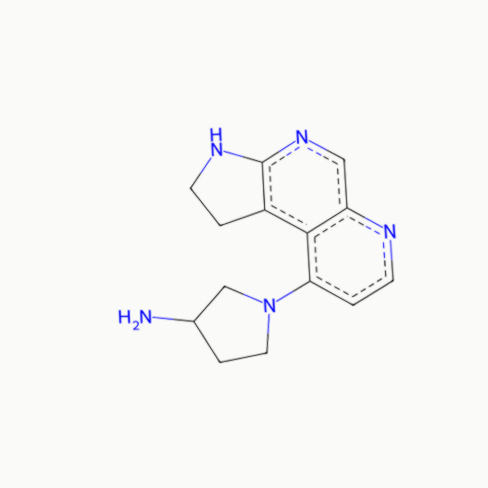 NC1CCN(c2ccnc3cnc4c(c23)CCN4)C1